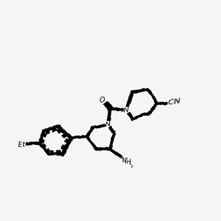 CCc1ccc(C2CC(N)CN(C(=O)N3CCC(C#N)CC3)C2)cc1